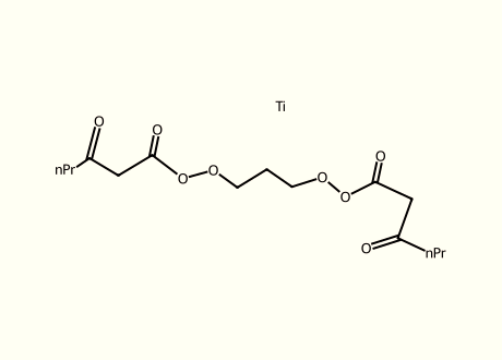 CCCC(=O)CC(=O)OOCCCOOC(=O)CC(=O)CCC.[Ti]